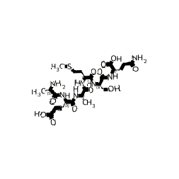 CSCC[C@H](NC(=O)[C@H](C)NC(=O)[C@H](CCC(=O)O)NC(=O)[C@H](C)N)C(=O)N[C@@H](CO)C(=O)N[C@@H](CCC(N)=O)C(=O)O